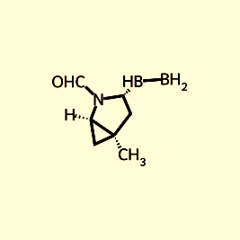 BB[C@@H]1C[C@@]2(C)C[C@H]2N1C=O